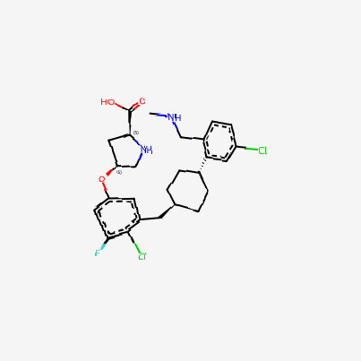 CNCc1ccc(Cl)cc1[C@H]1CC[C@H](Cc2cc(O[C@@H]3CN[C@H](C(=O)O)C3)cc(F)c2Cl)CC1